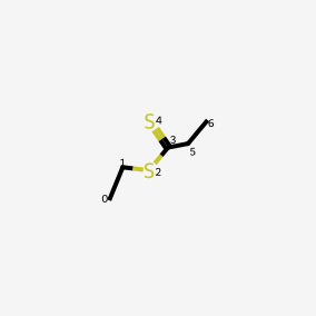 CCSC(=S)CC